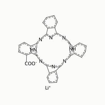 O=C([O-])c1cccc2c3nc4nc(nc5[nH]c(nc6nc(nc([nH]3)c12)-c1ccccc1-6)c1ccccc51)-c1ccccc1-4.[Li+]